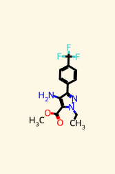 CCn1nc(-c2ccc(C(F)(F)F)cc2)c(N)c1C(=O)OC